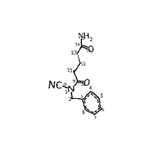 N#CN(Cc1ccccc1)C(=O)CCCC(N)=O